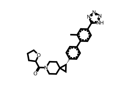 Cc1cc(-c2nnn[nH]2)ccc1-c1ccc([C@@H]2CC23CCN(C(=O)C2CCCO2)CC3)cc1